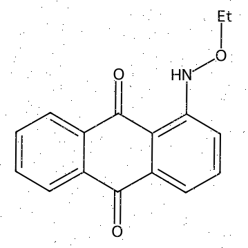 CCONc1cccc2c1C(=O)c1ccccc1C2=O